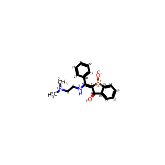 CN(C)CCNC(=C1C(=O)c2ccccc2[S+]1[O-])c1ccccc1